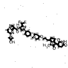 CN1C(=O)C(C2CCC(=O)NC2=O)c2cccc(CCCOC3CCN(C[C@H]4CC[C@H](n5cc(NC(=O)c6cnn7ccc(N8CC(O)C8)nc67)c(C(F)F)n5)CC4)CC3)c21